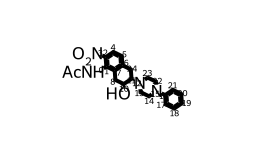 CC(=O)Nc1c([N+](=O)[O-])ccc2c1C[C@H](O)[C@@H](N1CCN(c3ccccc3)CC1)C2